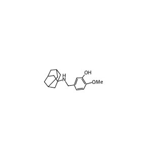 COc1ccc(CNC23CC4CC(CC(C4)C2)C3)cc1O